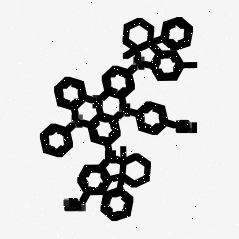 Cc1ccc2c(c1)C1(c3ccccc3)CCCCC1(C)N2c1ccc2c(c1)N(c1ccc(C(C)(C)C)cc1)c1cc(N3c4ccc(C(C)(C)C)cc4C4(c5ccccc5)CCCCC34C)cc3c1B2c1ccccc1N3c1ccccc1